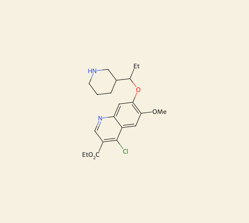 CCOC(=O)c1cnc2cc(OC(CC)C3CCCNC3)c(OC)cc2c1Cl